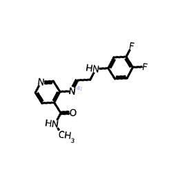 CNC(=O)c1ccncc1/N=C/CNc1ccc(F)c(F)c1